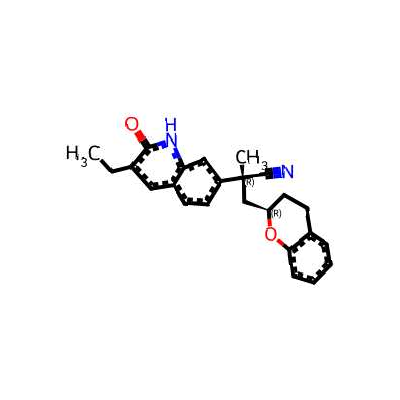 CCc1cc2ccc([C@](C)(C#N)C[C@H]3CCc4ccccc4O3)cc2[nH]c1=O